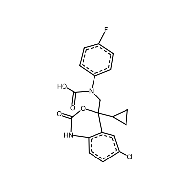 O=C1Nc2ccc(Cl)cc2C(CN(C(=O)O)c2ccc(F)cc2)(C2CC2)O1